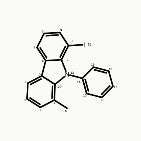 Cc1cccc2c3cccc(I)c3n(-c3ccccc3)c12